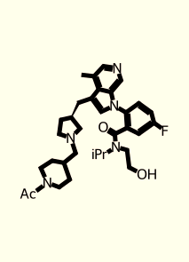 CC(=O)N1CCC(CN2CC[C@@H](Cc3cn(-c4ccc(F)cc4C(=O)N(CCO)C(C)C)c4cncc(C)c34)C2)CC1